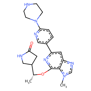 C[C@@H](Oc1nc(-c2ccc(N3CCNCC3)nc2)cc2ncn(C)c12)C1CNC(=O)C1